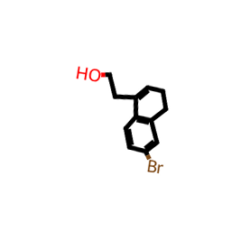 OCCC1=CCCc2cc(Br)ccc21